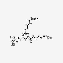 [CH2]COP(=O)(O)OC[C@@H](COC(=O)CCCCCCCCCCCCCCC)OC(=O)CCCCCCCCCCCCCCC